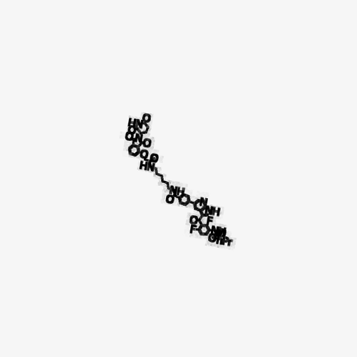 CCCS(=O)(=O)Nc1ccc(F)c(C(=O)c2c[nH]c3ncc(-c4ccc(C(=O)NCCCCCCNC(=O)COc5cccc6c5C(=O)N(C5CCC(=O)NC5=O)C6=O)cc4)cc23)c1F